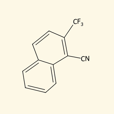 N#Cc1c(C(F)(F)F)ccc2ccccc12